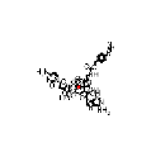 [N-]=[N+]=Nc1ccc(COC(=O)NCCCC(N)(C(=O)O)[C@H]2[C@@H](O)[C@H](n3cnc4c(N)ncnc43)O[C@H]2COP(=O)(O)O[C@H]2C[C@H](n3ccc(N)nc3=O)O[C@@H]2COP(=O)(O)O)cc1